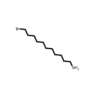 [SiH3]CCCCCCCCCCCBr